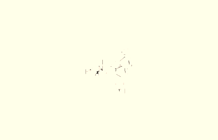 COc1ccc2cc(CCO)cc(CCNC(=O)CF)c2c1